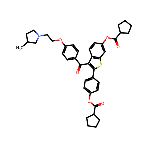 CC1CCN(CCOc2ccc(C(=O)c3c(-c4ccc(OC(=O)C5CCCC5)cc4)sc4cc(OC(=O)C5CCCC5)ccc34)cc2)C1